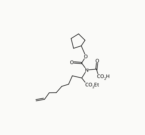 C=CCCCCCC(C(=O)OCC)N(C(=O)OC1CCCC1)C(=O)C(=O)O